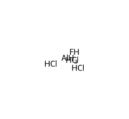 Cl.Cl.Cl.F.[AlH3]